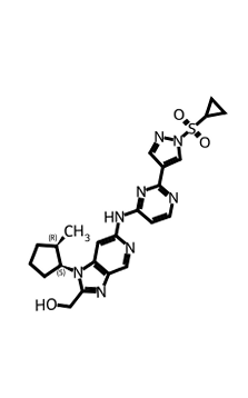 C[C@@H]1CCC[C@@H]1n1c(CO)nc2cnc(Nc3ccnc(-c4cnn(S(=O)(=O)C5CC5)c4)n3)cc21